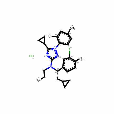 CCCN(c1nc(C2CC2)n(-c2ccc(C)cc2C)n1)[C@@H](CC1CC1)c1ccc(C)c(F)c1.Cl